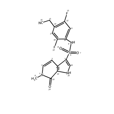 Cn1ccc2c(S(=O)(=O)Nc3cc(F)c(CC#N)cc3F)c[nH]c2c1=O